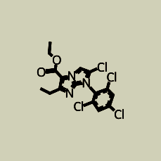 CCOC(=O)c1c(CC)nc2n(-c3c(Cl)cc(Cl)cc3Cl)c(Cl)cn12